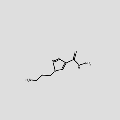 NCCCn1cc(C(=O)NN)nn1